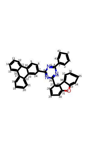 c1ccc(-c2nc(-c3ccc4c5ccccc5c5ccccc5c4c3)nc(-c3cccc4oc5ccccc5c34)n2)cc1